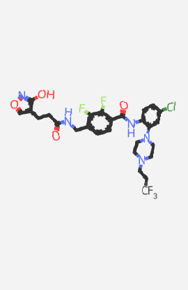 O=C(CCc1conc1O)NCc1ccc(C(=O)Nc2ccc(Cl)cc2N2CCN(CCC(F)(F)F)CC2)c(F)c1F